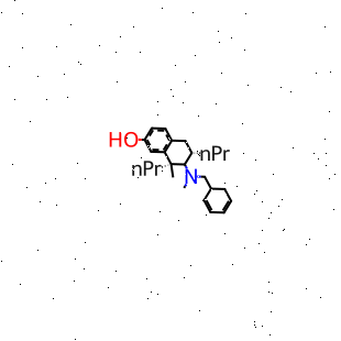 CCC[C@H]1Cc2ccc(O)cc2[C@@](C)(CCC)C1N(C)CC1C=CC=CC1